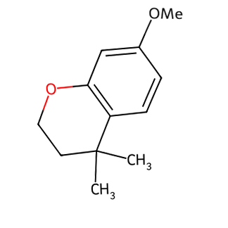 COc1ccc2c(c1)OCCC2(C)C